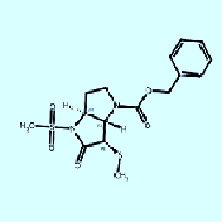 CS[C@H]1C(=O)N(S(C)(=O)=O)[C@H]2CCN(C(=O)OCc3ccccc3)[C@H]12